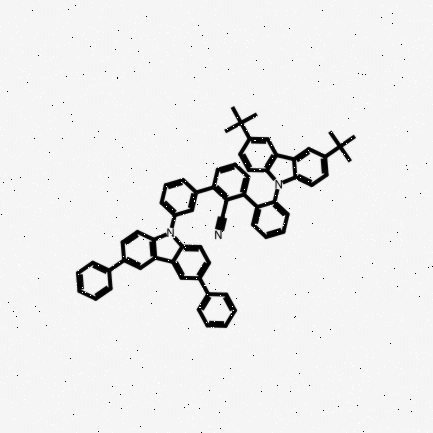 CC(C)(C)c1ccc2c(c1)c1cc(C(C)(C)C)ccc1n2-c1ccccc1-c1cccc(-c2cccc(-n3c4ccc(-c5ccccc5)cc4c4cc(-c5ccccc5)ccc43)c2)c1C#N